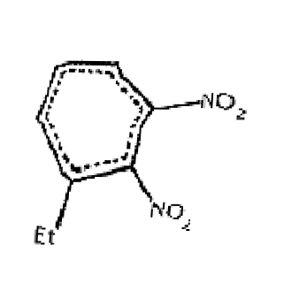 CCc1cccc([N+](=O)[O-])c1[N+](=O)[O-]